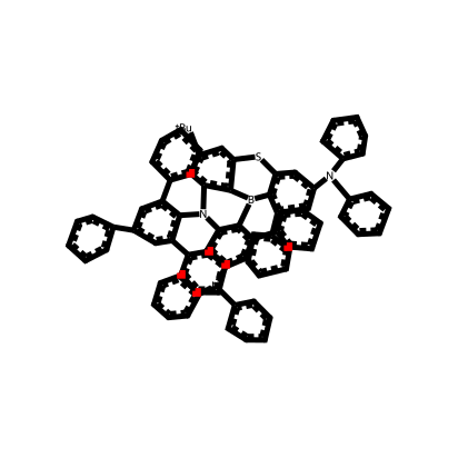 CC(C)(C)c1cc2c3c(c1)N(c1c(-c4ccccc4)cc(-c4ccccc4)cc1-c1ccccc1)c1cc(N(c4ccccc4)c4ccccc4)cc(-c4ccccc4)c1B3c1c(cc(N(c3ccccc3)c3ccccc3)cc1-c1ccccc1)S2